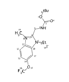 CCn1c(CNC(=O)OC(C)(C)C)[n+](C)c2ccc(OC(F)(F)F)cc21.[I-]